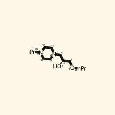 CCCOC[C@H](O)CN1CCN(C(C)C)CC1